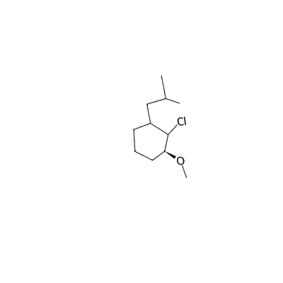 CO[C@H]1CCCC(CC(C)C)C1Cl